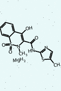 Cc1cnc(NC(=O)C2=C(O)c3ccccc3S(=O)(=O)N2C)s1.[MgH2]